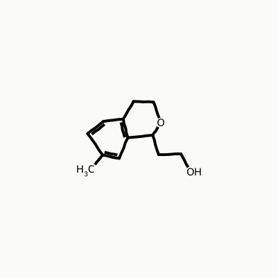 Cc1ccc2c(c1)C(CCO)OCC2